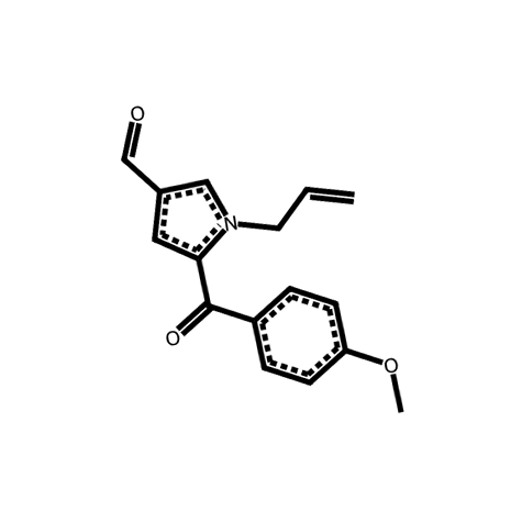 C=CCn1cc(C=O)cc1C(=O)c1ccc(OC)cc1